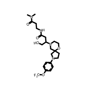 CN(C)C(=O)CCNC(=O)CC(CO)N1CCOC2(CCN(c3ccc(OC(F)(F)F)cc3)C2)C1